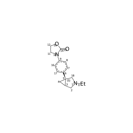 CCN1CC2C[C@]2(c2ccc(N3CCOC3=O)cc2)C1